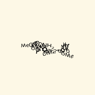 C=C1C[C@H]2C=Nc3cc(OCCCCCOc4cc(N)c(C(=O)N5CC(=C)C[C@H]5C5OCCN5C(=O)OC)cc4OC)c(OC)cc3C(=O)N2C1